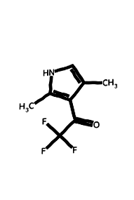 Cc1c[nH]c(C)c1C(=O)C(F)(F)F